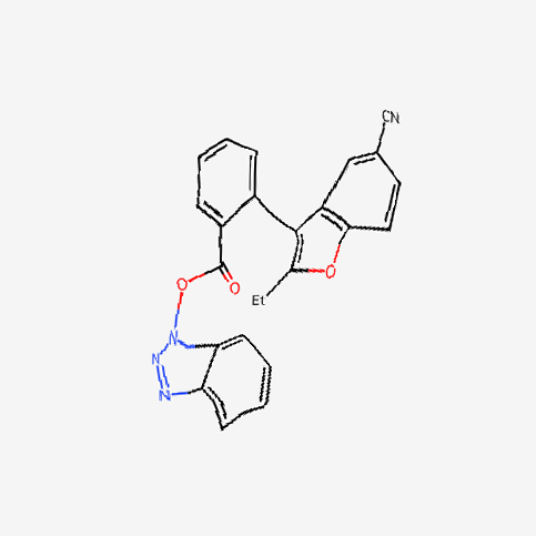 CCc1oc2ccc(C#N)cc2c1-c1ccccc1C(=O)On1nnc2ccccc21